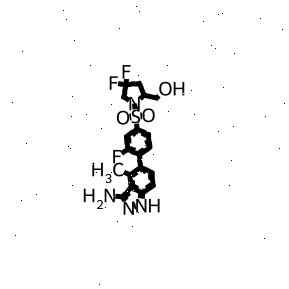 Cc1c(-c2ccc(S(=O)(=O)N3CC(F)(F)CC3CO)cc2F)ccc2[nH]nc(N)c12